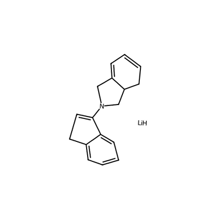 C1=CCC2CN(C3=CCc4ccccc43)CC2=C1.[LiH]